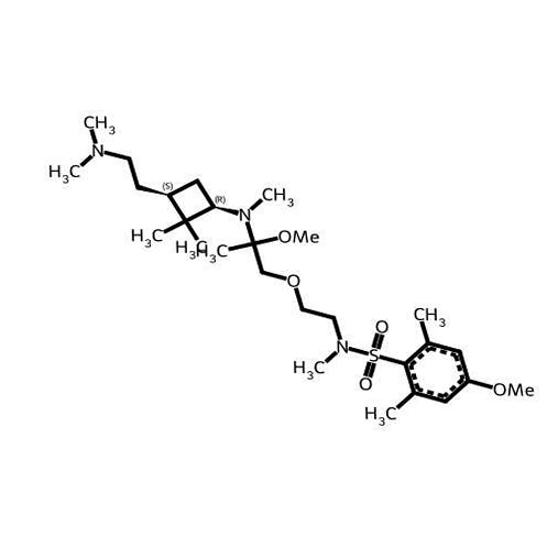 COc1cc(C)c(S(=O)(=O)N(C)CCOCC(C)(OC)N(C)[C@@H]2C[C@H](CCN(C)C)C2(C)C)c(C)c1